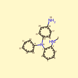 CNc1ccccc1N(c1ccccc1)c1ccc(N)cc1